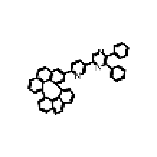 c1ccc(-c2ncc(-c3ccc(-c4cc5ccc6cccc7c8cccc9ccc%10cccc(c(c4)c5c67)c%10c98)nc3)nc2-c2ccccc2)cc1